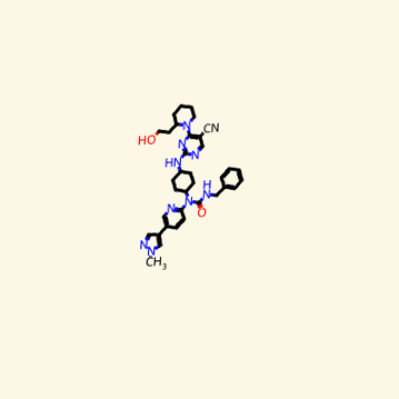 Cn1cc(-c2ccc(N(C(=O)NCc3ccccc3)C3CCC(Nc4ncc(C#N)c(N5CCCCC5CCO)n4)CC3)nc2)cn1